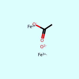 CC(=O)[O-].[Fe+2].[Fe+3].[O-2]